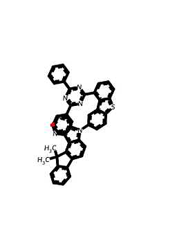 CC1(C)c2ccccc2-c2ccc3c(c21)c1ncncc1n3-c1ccc2sc3cccc(-c4nc(-c5ccccc5)nc(-c5ccccc5)n4)c3c2c1